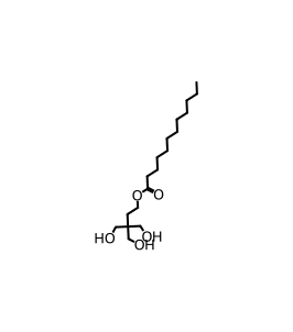 CCCCCCCCCCCC(=O)OCCC(CO)(CO)CO